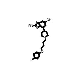 CNc1nc2c(C3CCN(CCCCOc4ccc(F)cc4)CC3)cc(O)cc2s1